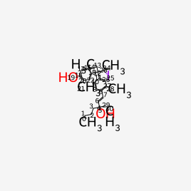 CCCCC(O)(C=Cc1ccc(C(CC)(c2ccc(O)c(C)c2)C(C)I)cc1C)CC